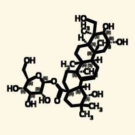 CC1(C)CC[C@]2(C(=O)O[C@@H]3O[C@H](CO)[C@@H](O)[C@H](O)[C@H]3O)CC[C@]3(C)C(=CC[C@@H]4[C@@]5(C)C[C@@H](O)[C@H](O)[C@](C)(CO)[C@@H]5CC[C@]43C)[C@@H]2[C@@H]1O